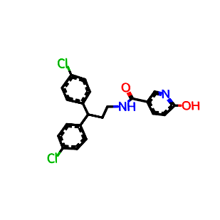 O=C(NCCC(c1ccc(Cl)cc1)c1ccc(Cl)cc1)c1ccc(O)nc1